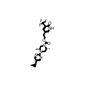 C[C@@H]1CN(c2ncc(C3CC3)cn2)[C@@H](C)CN1C(=O)OCCc1c[nH]c(=O)c(C(F)(F)F)c1